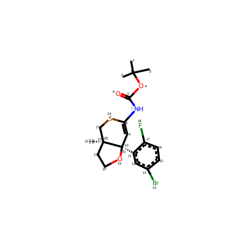 CC(C)(C)OC(=O)NC1=C[C@@]2(c3cc(Br)ccc3F)OCC[C@H]2CS1